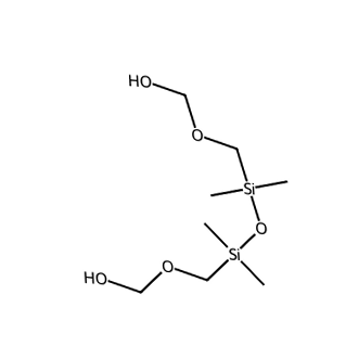 C[Si](C)(COCO)O[Si](C)(C)COCO